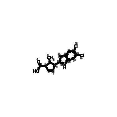 CC1C(C(=O)O)C=NN1c1nc2cc(Cl)c(Cl)cc2[nH]1